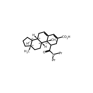 CC(C)N(C(=O)C1CC(C(=O)O)=CC2=CC[C@@H]3[C@@H](CC[C@]4(C)CCC[C@@H]34)[C@]21C)C(C)C